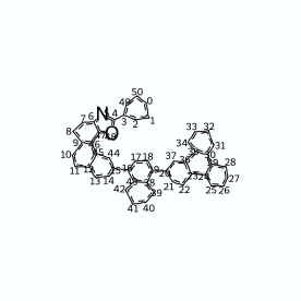 c1ccc(-c2nc3ccc4ccc5ccc(-c6ccc(-c7ccc8c9ccccc9c9ccccc9c8c7)c7ccccc67)cc5c4c3o2)cc1